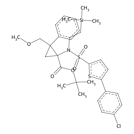 COCC1(c2ccccc2)CC1(C(=O)OC(C)(C)C)N(CC[Si](C)(C)C)S(=O)(=O)c1ccc(-c2ccc(Cl)cc2)s1